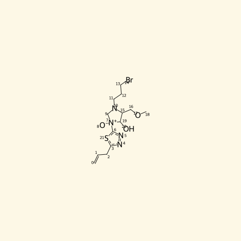 C=CCc1nnc([N+]2([O-])CN(CCCBr)C(COC)C2O)s1